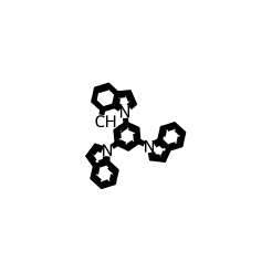 CC1CC=Cc2ccn(-c3cc(-n4ccc5ccccc54)cc(-n4ccc5ccccc54)c3)c21